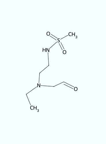 CCN(CC=O)CCNS(C)(=O)=O